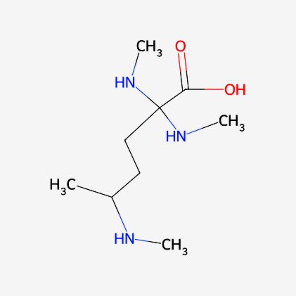 CNC(C)CCC(NC)(NC)C(=O)O